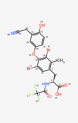 Cc1c(C[C@H](NC(=O)C(F)(F)F)C(=O)O)cc(Br)c(Oc2ccc(O)c(CC#N)c2)c1Br